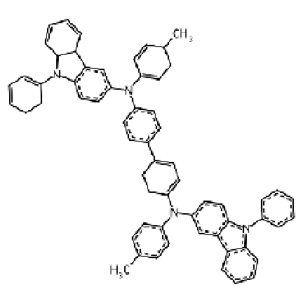 Cc1ccc(N(C2=CC=C(c3ccc(N(C4=CCC(C)C=C4)c4ccc5c(c4)C4C=CC=CC4N5C4=CC=CCC4)cc3)CC2)c2ccc3c(c2)c2ccccc2n3-c2ccccc2)cc1